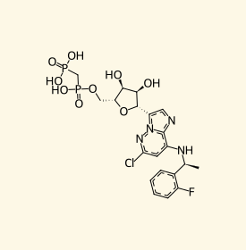 C[C@H](Nc1cc(Cl)nn2c([C@@H]3O[C@H](COP(=O)(O)CP(=O)(O)O)[C@@H](O)[C@H]3O)cnc12)c1ccccc1F